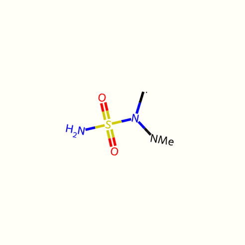 [CH2]N(NC)S(N)(=O)=O